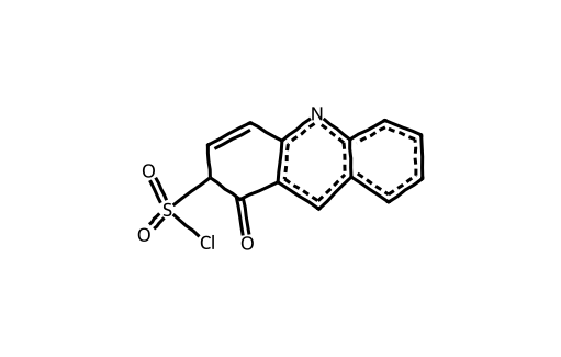 O=C1c2cc3ccccc3nc2C=CC1S(=O)(=O)Cl